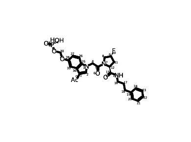 CC(=O)c1cn(CC(=O)N2C[C@H](F)C[C@H]2C(=O)NCCCc2ccccc2)c2ccc(OCO[PH](=O)O)cc12